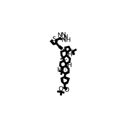 C=C(C)[C@@H]1CC[C@]2(C#Cc3ccsc3-c3nnn[nH]3)CC[C@]3(C)C(CC[C@@H]4[C@@]5(C)CC=C(c6ccc(C(=O)OC(C)(C)C)cc6)C(C)(C)[C@@H]5CC[C@]43C)[C@@H]12